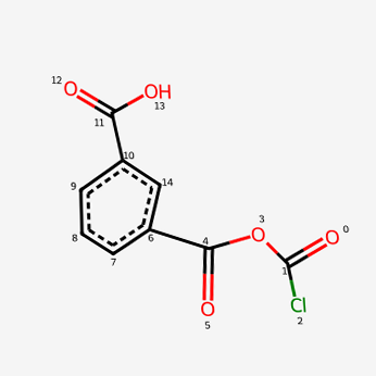 O=C(Cl)OC(=O)c1cccc(C(=O)O)c1